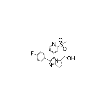 CS(=O)(=O)c1cc(-c2c(-c3ccc(F)cc3)nc3n2C(CO)CC3)ccn1